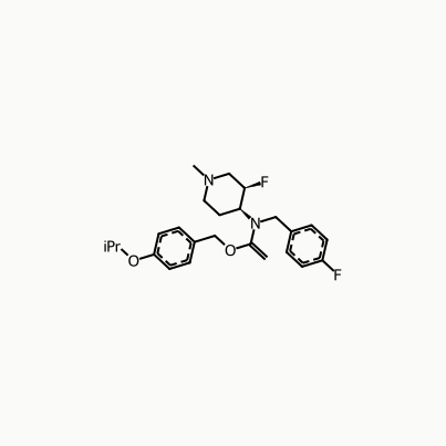 C=C(OCc1ccc(OC(C)C)cc1)N(Cc1ccc(F)cc1)[C@H]1CCN(C)C[C@H]1F